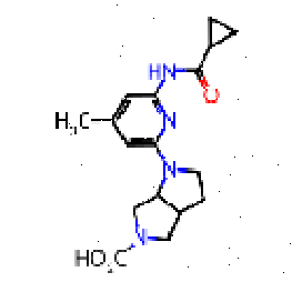 Cc1cc(NC(=O)C2CC2)nc(N2CCC3CN(C(=O)O)CC32)c1